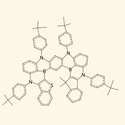 CC(C)(C)c1ccc(N2C3=C(B4c5cc6c(cc5N(c5ccc(C(C)(C)C)cc5)c5cccc2c54)N(c2ccc(C(C)(C)C)cc2)c2cccc4c2B6c2sc5ccccc5c2N4c2ccc(C(C)(C)C)cc2)C(C)(C)c2ccccc23)cc1